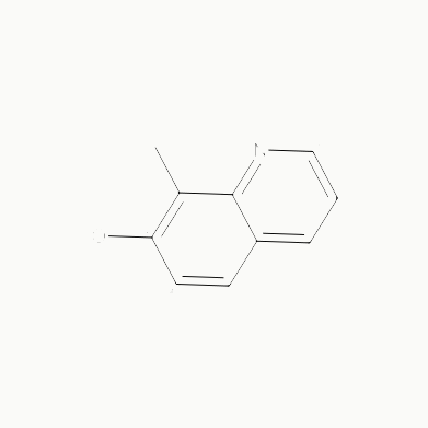 Cc1c([O])ccc2cccnc12